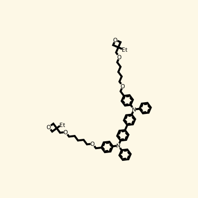 CCC1(COCCCCCOCc2ccc(N(c3ccccc3)c3ccc(-c4ccc(N(c5ccccc5)c5ccc(COCCCCCOCC6(CC)COC6)cc5)cc4)cc3)cc2)COC1